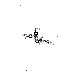 COCCCNS(=O)(=O)c1cc(Nc2nc3ccc(CO)cc3n2C2CCC(C(=O)O)CC2)ccc1F